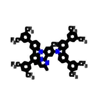 Cc1cc(C)nc(-c2cc(-n3c4ccc(-c5cc(C(F)(F)F)cc(C(F)(F)F)c5)cc4c4cc(-c5cc(C(F)(F)F)cc(C(F)(F)F)c5)ccc43)c(C#N)cc2-n2c3ccc(-c4cc(C(F)(F)F)cc(C(F)(F)F)c4)cc3c3cc(-c4cc(C(F)(F)F)cc(C(F)(F)F)c4)ccc32)n1